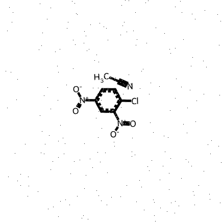 CC#N.O=[N+]([O-])c1ccc(Cl)c([N+](=O)[O-])c1